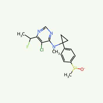 CC(F)c1ncnc(N(C)C2(c3ccc([S+](C)[O-])cc3)CC2)c1Cl